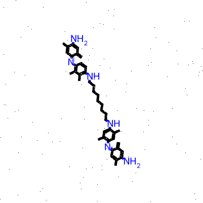 C=C1C=C(N)C(C)=C/C1=N/c1cc(C)c(NCCCCCCCCCNc2ccc(/N=C3/C=C(C)C(N)=CC3=C)c(C)c2C)cc1C